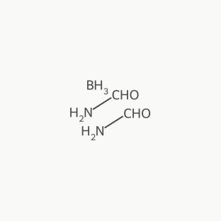 B.NC=O.NC=O